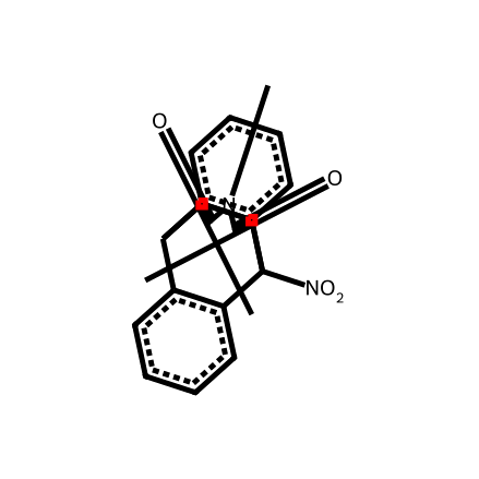 CN1C(=O)C2C3c4ccccc4C([N+](=O)[O-])(c4ccccc43)C2C1=O